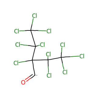 O=[C]C(Cl)(C(Cl)(Cl)C(Cl)(Cl)Cl)C(Cl)(Cl)C(Cl)(Cl)Cl